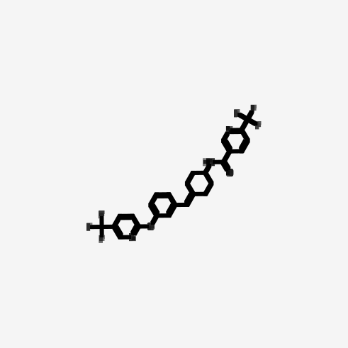 O=C(NC1CCC(=Cc2cccc(Oc3ccc(C(F)(F)F)cn3)c2)CC1)c1ccc(C(F)(F)F)nc1